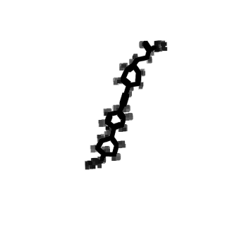 C=C(CC)CCc1ccc(C#Cc2ccc(C3CCC(CCC)CC3)cc2)cc1